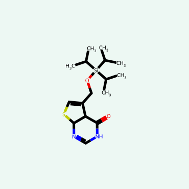 CC(C)[Si](OCC1=CSC2N=CNC(=O)C12)(C(C)C)C(C)C